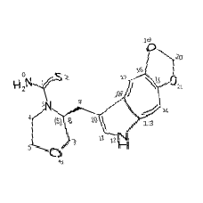 NC(=S)N1CCOC[C@@H]1Cc1c[nH]c2cc3c(cc12)OCO3